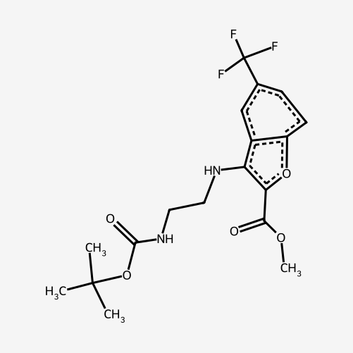 COC(=O)c1oc2ccc(C(F)(F)F)cc2c1NCCNC(=O)OC(C)(C)C